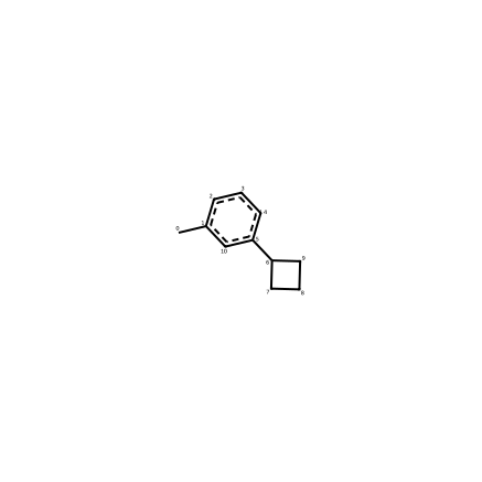 Cc1cc[c]c(C2CCC2)c1